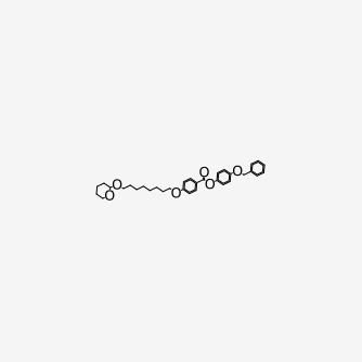 O=C(Oc1ccc(OCc2ccccc2)cc1)c1ccc(OCCCCCCCCOC2CCCCO2)cc1